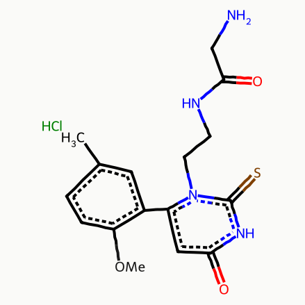 COc1ccc(C)cc1-c1cc(=O)[nH]c(=S)n1CCNC(=O)CN.Cl